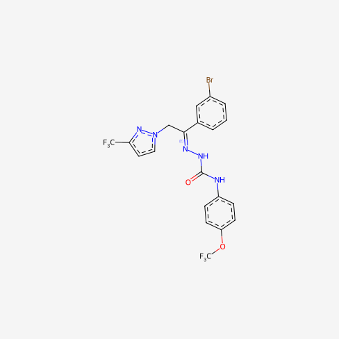 O=C(N/N=C(/Cn1ccc(C(F)(F)F)n1)c1cccc(Br)c1)Nc1ccc(OC(F)(F)F)cc1